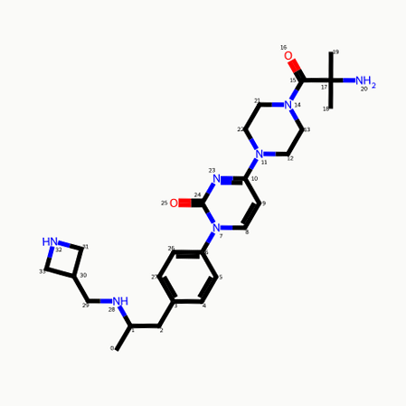 CC(Cc1ccc(-n2ccc(N3CCN(C(=O)C(C)(C)N)CC3)nc2=O)cc1)NCC1CNC1